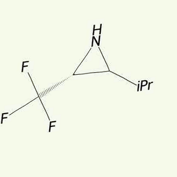 CC(C)C1N[C@H]1C(F)(F)F